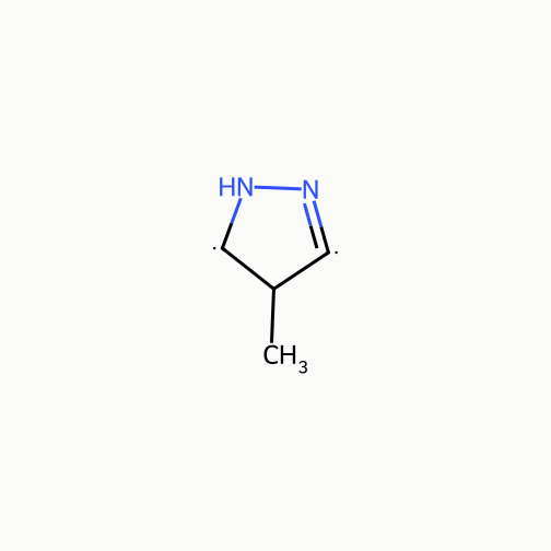 CC1[C]=NN[CH]1